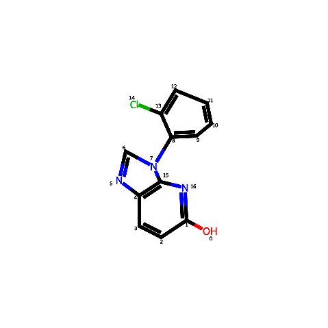 Oc1ccc2ncn(-c3ccccc3Cl)c2n1